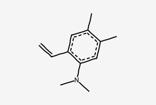 C=Cc1cc(C)c(C)cc1N(C)C